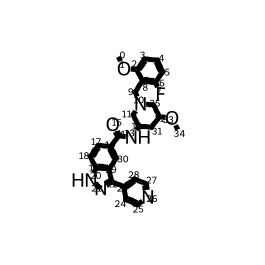 COc1cccc(F)c1CN1CC(NC(=O)c2ccc3[nH]nc(-c4ccncc4)c3c2)CC(OC)C1